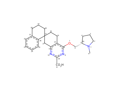 CN1CCC[C@H]1COc1nc(C(=O)O)nc2c1CCC1(CCCc3ccccc31)C2